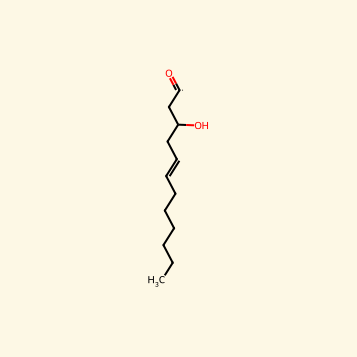 CCCCCC/C=C/CC(O)C[C]=O